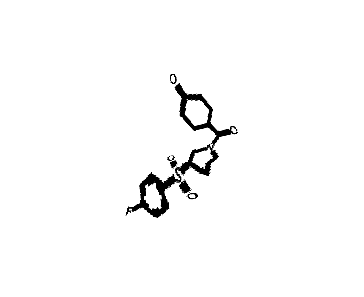 O=C1CCC(C(=O)N2CCC(S(=O)(=O)c3ccc(F)cc3)C2)CC1